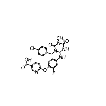 CN1C(=O)NC(Nc2ccc(Oc3ccc(C(=O)O)cn3)c(F)c2)N(Cc2ccc(Cl)cc2)C1=O